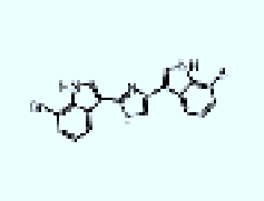 Brc1cccc2c(-c3csc(-c4c[nH]c5c(Br)cccc45)n3)c[nH]c12